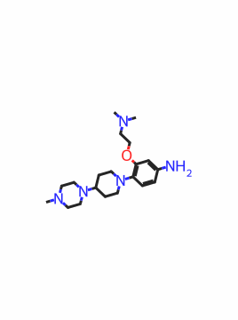 CN(C)CCOc1cc(N)ccc1N1CCC(N2CCN(C)CC2)CC1